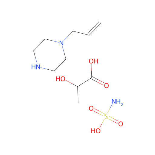 C=CCN1CCNCC1.CC(O)C(=O)O.NS(=O)(=O)O